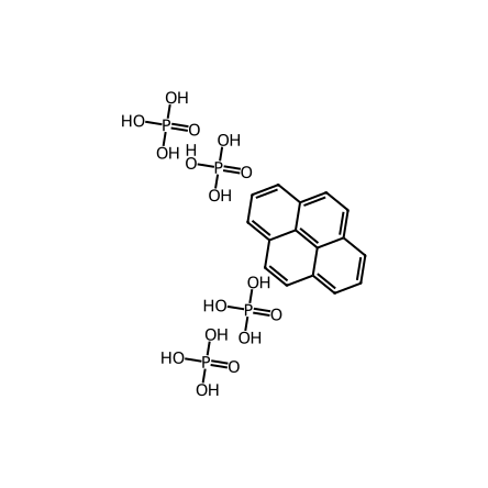 O=P(O)(O)O.O=P(O)(O)O.O=P(O)(O)O.O=P(O)(O)O.c1cc2ccc3cccc4ccc(c1)c2c34